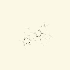 CC1(C)Cc2nc(C3CCOCC3)c3c(c2C(O[Si](C)(C)C(C)(C)C)C1)C1(CCOCC1)O[C@@H]3c1ccc(C(F)(F)F)c(C#N)c1